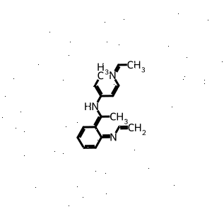 C=C/N=C1/C=CC=C/C1=C(/C)NC(/C=C\N=C/C)=C/C